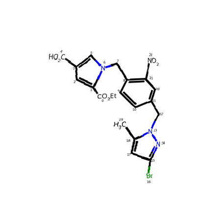 CCOC(=O)c1cc(C(=O)O)cn1Cc1ccc(Cn2nc(Br)cc2C)cc1[N+](=O)[O-]